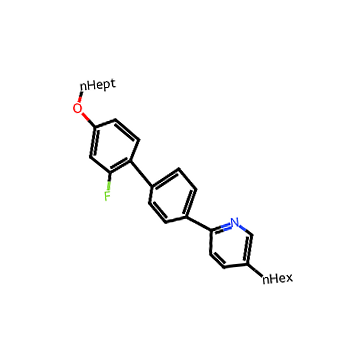 CCCCCCCOc1ccc(-c2ccc(-c3ccc(CCCCCC)cn3)cc2)c(F)c1